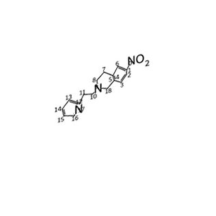 O=[N+]([O-])c1ccc2c(c1)CCN(CCc1ccccn1)C2